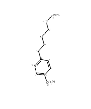 CCCCCOCCCCc1ccc(C(=O)O)cn1